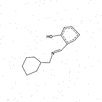 Oc1ccccc1C=NCC1CCCCC1